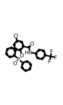 O=C(Nc1ccc(C(F)(F)F)cc1)c1cc(Cl)ccc1OP(=O)(c1ccccc1)c1ccccc1